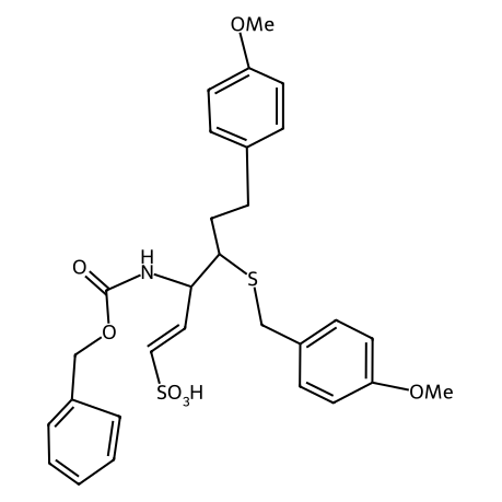 COc1ccc(CCC(SCc2ccc(OC)cc2)C(C=CS(=O)(=O)O)NC(=O)OCc2ccccc2)cc1